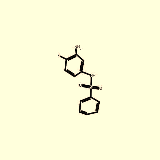 Nc1cc(NS(=O)(=O)c2ccccc2)ccc1F